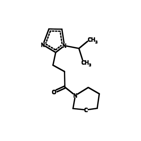 CC(C)n1ccnc1CCC(=O)N1CCCCC1